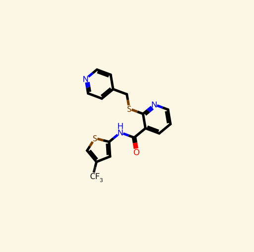 O=C(Nc1cc(C(F)(F)F)cs1)c1cccnc1SCc1ccncc1